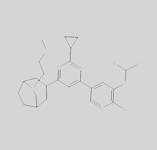 COCCN1CC2CCC1CC(c1cc(-c3cnc(N)c(OC(F)F)c3)nc(C3CC3)n1)C2